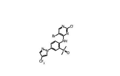 CP(C)(=O)c1cc(-n2cc(C(F)(F)F)cn2)ccc1Nc1nc(Cl)ncc1Br